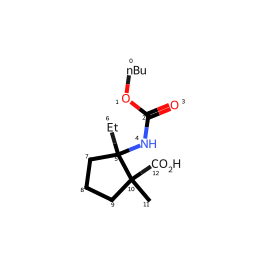 CCCCOC(=O)NC1(CC)CCCC1(C)C(=O)O